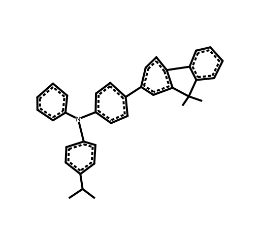 CC(C)c1ccc(N(c2ccccc2)c2ccc(-c3ccc4c(c3)C(C)(C)c3ccccc3-4)cc2)cc1